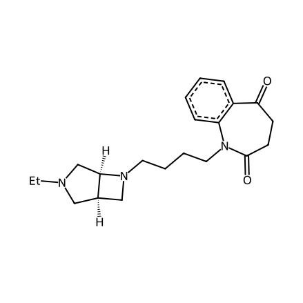 CCN1C[C@@H]2CN(CCCCN3C(=O)CCC(=O)c4ccccc43)[C@@H]2C1